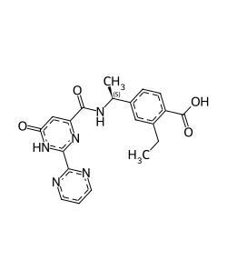 CCc1cc([C@H](C)NC(=O)c2cc(=O)[nH]c(-c3ncccn3)n2)ccc1C(=O)O